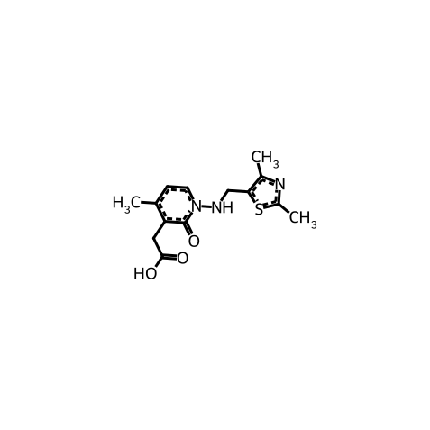 Cc1nc(C)c(CNn2ccc(C)c(CC(=O)O)c2=O)s1